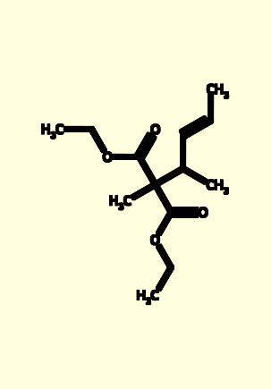 CC=CC(C)C(C)(C(=O)OCC)C(=O)OCC